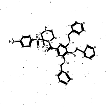 Nc1ccc(S(=O)(=O)C2(C(=O)O)CNCCN2C(=O)c2cc(OCc3ccccc3)c(OCc3ccccc3)c(OCc3ccccc3)c2)cc1